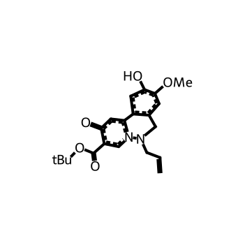 C=CCN1Cc2cc(OC)c(O)cc2-c2cc(=O)c(C(=O)OC(C)(C)C)cn21